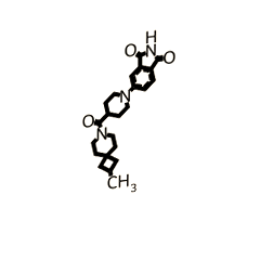 CC1CC2(CCN(C(=O)C3CCN(c4ccc5c(c4)C(=O)NC5=O)CC3)CC2)C1